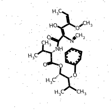 C=N/C(C(=O)N[C@H](C(=O)O[C@@H](C)[C@H](Oc1ccccc1)C(C)C)C(C)C)=C(O)\C(=C/C)OC